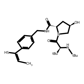 C/C=C(/S)c1ccc(CNC(=O)[C@@H]2C[C@@H](O)CN2C(=O)[C@@H](NC(C)(C)C)C(C)(C)C)cc1